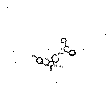 Cl.O=C(N[C@@H](CCN1CCC2(CC1)NC(=O)N(Cc1ccc(Br)cc1)C2=O)c1ccccc1)N1CCCC1